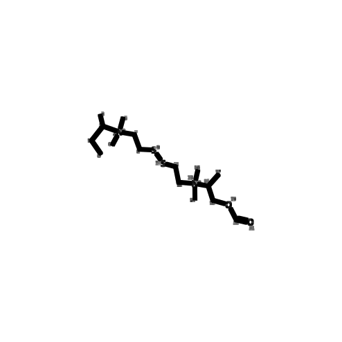 CCC(C)[N+](C)(C)CCSSCC[N+](C)(C)C(C)COC=O